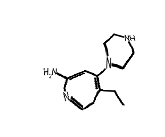 CCC1=C(N2CCNCC2)C=C(N)N=CC1